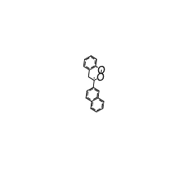 c1ccc2c(c1)C[C](c1ccc3ccccc3c1)OO2